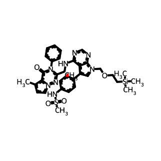 Cc1ccn2nc(C(C)Nc3ncnc4c3c(-c3ccc(NS(C)(=O)=O)cc3)cn4COCC[Si](C)(C)C)n(-c3ccccc3)c(=O)c12